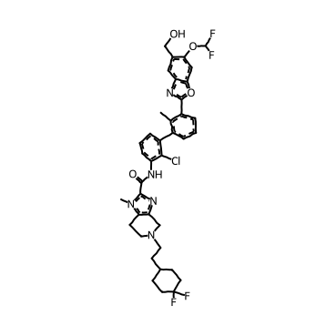 Cc1c(-c2nc3cc(CO)c(OC(F)F)cc3o2)cccc1-c1cccc(NC(=O)c2nc3c(n2C)CCN(CCC2CCC(F)(F)CC2)C3)c1Cl